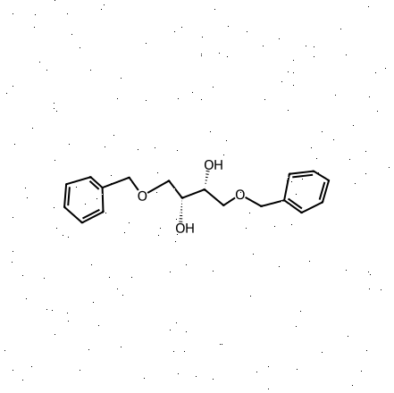 O[C@H](COCc1ccccc1)[C@H](O)COCc1ccccc1